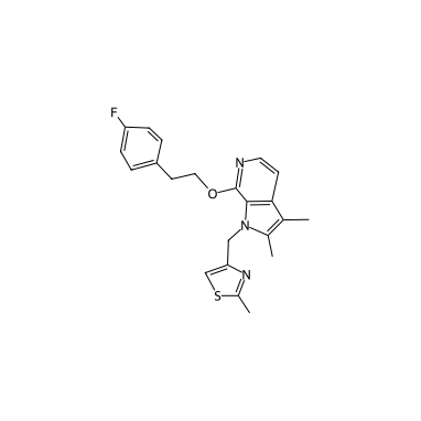 Cc1nc(Cn2c(C)c(C)c3ccnc(OCCc4ccc(F)cc4)c32)cs1